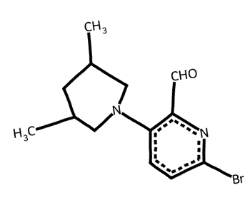 CC1CC(C)CN(c2ccc(Br)nc2C=O)C1